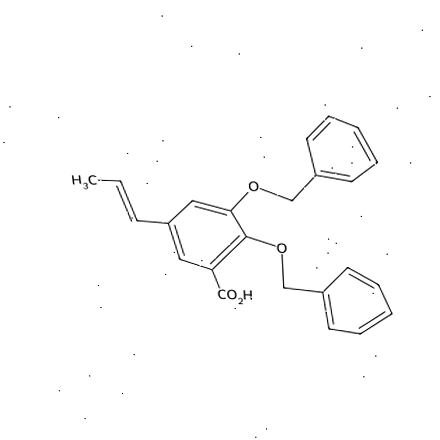 C/C=C/c1cc(OCc2ccccc2)c(OCc2ccccc2)c(C(=O)O)c1